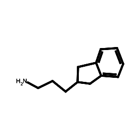 NCCCC1Cc2ccccc2C1